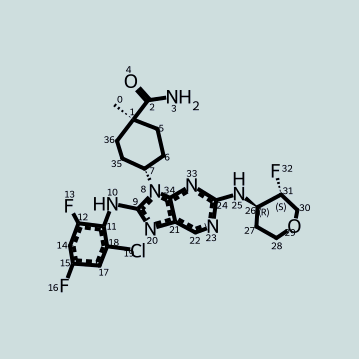 C[C@]1(C(N)=O)CC[C@H](n2c(Nc3c(F)cc(F)cc3Cl)nc3cnc(N[C@@H]4CCOC[C@H]4F)nc32)CC1